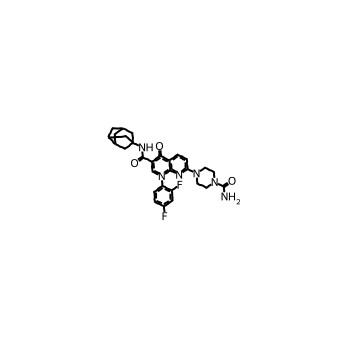 NC(=O)N1CCN(c2ccc3c(=O)c(C(=O)NC45CC6CC(C4)C(C6)C5)cn(-c4ccc(F)cc4F)c3n2)CC1